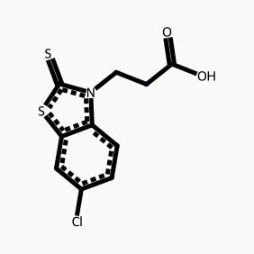 O=C(O)CCn1c(=S)sc2cc(Cl)ccc21